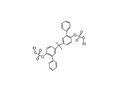 CCOS(=O)(=O)Oc1ccc(C(C)(C)c2ccc(OS(=O)(=O)OCC)c(-c3ccccc3)c2)cc1-c1ccccc1